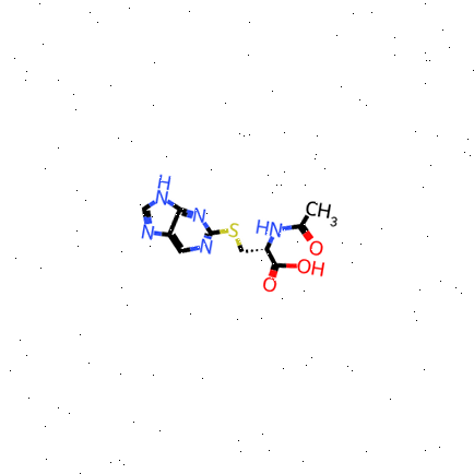 CC(=O)N[C@@H](CSc1ncc2nc[nH]c2n1)C(=O)O